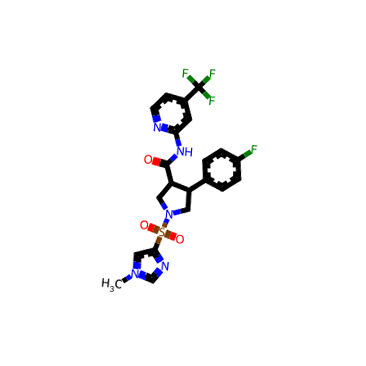 Cn1cnc(S(=O)(=O)N2CC(C(=O)Nc3cc(C(F)(F)F)ccn3)C(c3ccc(F)cc3)C2)c1